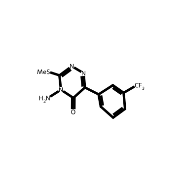 CSc1nnc(-c2cccc(C(F)(F)F)c2)c(=O)n1N